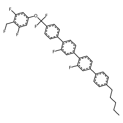 CCCCCc1ccc(-c2ccc(-c3ccc(-c4ccc(C(F)(F)Oc5cc(F)c(CF)c(F)c5)cc4)c(F)c3)c(F)c2)cc1